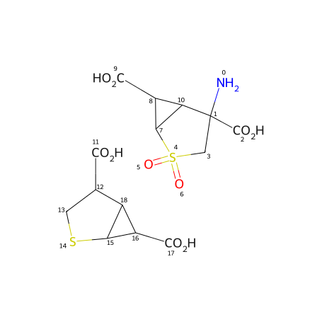 NC1(C(=O)O)CS(=O)(=O)C2C(C(=O)O)C21.O=C(O)C1CSC2C(C(=O)O)C12